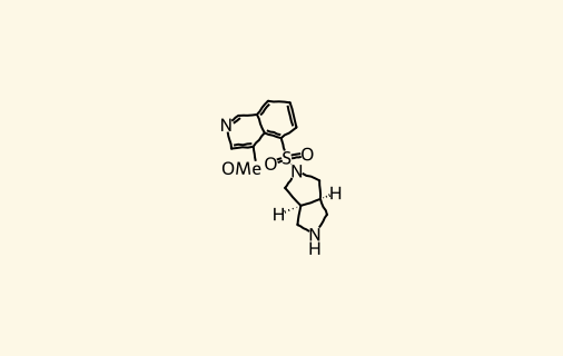 COc1cncc2cccc(S(=O)(=O)N3C[C@H]4CNC[C@H]4C3)c12